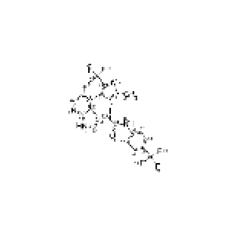 Cn1cc(-c2ccnc3[nH]cc(NC(=O)Nc4ccc(C(F)(F)F)cc4)c23)c(C(F)(F)F)n1